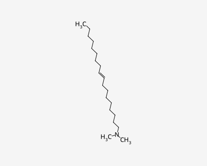 CCCCCCCCC=CCCCCCCCCN(C)C